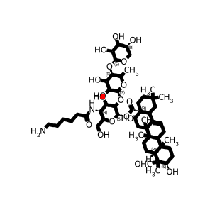 CC1O[C@@H](OC2C(O)[C@@H](NC(=O)CCCCCN)C(CO)O[C@H]2OC(=O)[C@]23CCC(C)(C)CC2C2=CCC4C5(C)CC[C@H](O)C(C)(C=O)[C@@H]5CCC4(C)C2(C)C[C@H]3O)C(O)C(O)[C@H]1O[C@@H]1OC[C@@H](O)C(O)C1O